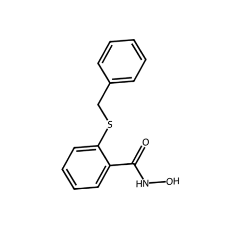 O=C(NO)c1ccccc1SCc1ccccc1